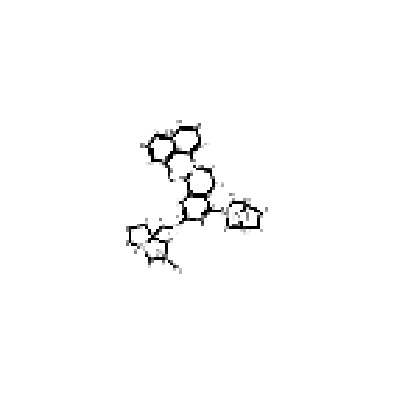 F[C@H]1CN2CCCC2(COc2nc3c(c(N4CC5CCC(C4)N5)n2)CCN(c2cccc4cccc(Cl)c24)C3)C1